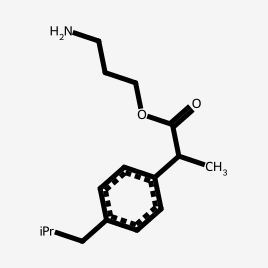 CC(C)Cc1ccc(C(C)C(=O)OCCCN)cc1